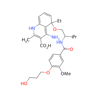 CCC1(OCC(NC(=O)c2ccc(OCCCO)c(OC)c2)C(C)C)C=CC=C2NC(C)=C(C(=O)O)C(N)=C21